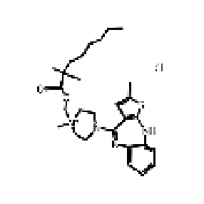 CCCCCCC(C)(C)C(=O)OC[N+]1(C)CCN(C2=Nc3ccccc3Nc3sc(C)cc32)CC1.[Cl-]